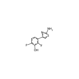 Nc1nc(-c2ccc(F)c(O)c2F)cs1